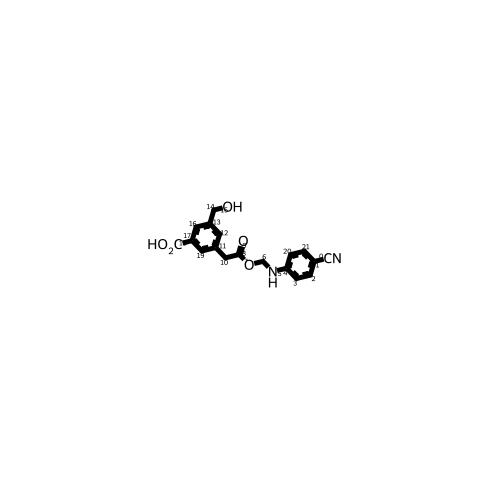 N#Cc1ccc(NCOC(=O)Cc2cc(CO)cc(C(=O)O)c2)cc1